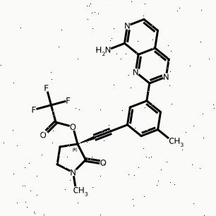 Cc1cc(C#C[C@]2(OC(=O)C(F)(F)F)CCN(C)C2=O)cc(-c2ncc3ccnc(N)c3n2)c1